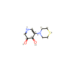 O=C1C=N[C]=C(N2CCSCC2)C1=O